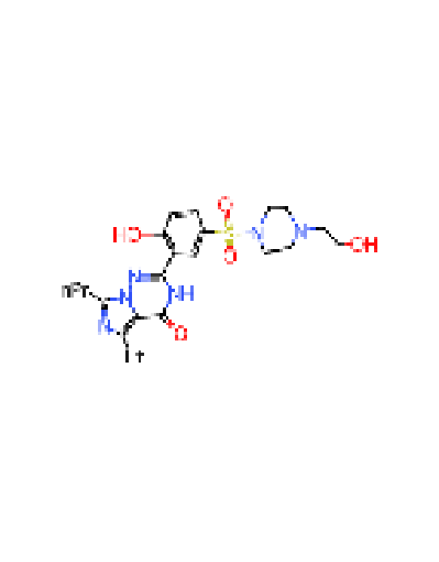 CCCc1nc(CC)c2c(=O)[nH]c(-c3cc(S(=O)(=O)N4CCN(CCO)CC4)ccc3O)nn12